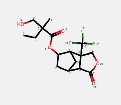 CCC(C)(CO)C(=O)OC1CC2CC1C1(C(F)(F)F)COC(=O)C21